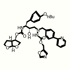 CCCCOc1ccc(C[C@H](NC(=O)O[C@H]2CO[C@H]3OCC[C@H]32)[C@@H](O)CN(Cc2ccc(-c3ccccn3)cc2)NC(=O)OCc2cnco2)cc1